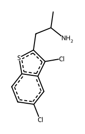 CC(N)Cc1sc2ccc(Cl)cc2c1Cl